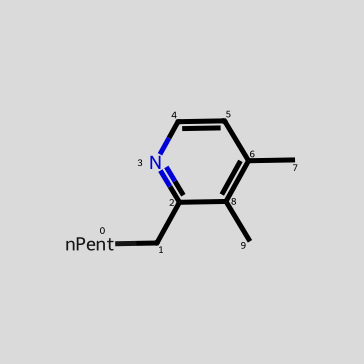 CCCCCCc1nccc(C)c1C